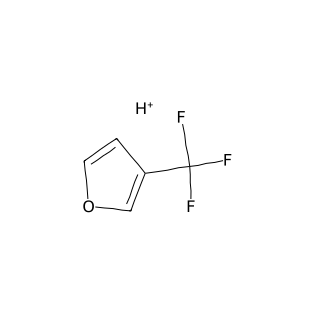 FC(F)(F)c1ccoc1.[H+]